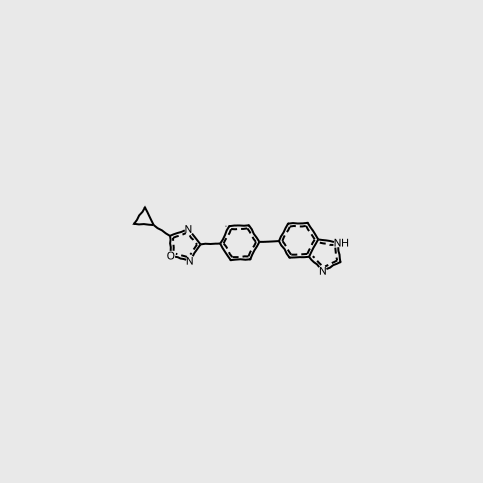 [c]1cc(-c2ccc3[nH]cnc3c2)ccc1-c1noc(C2CC2)n1